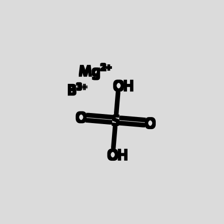 O=S(=O)(O)O.[B+3].[Mg+2]